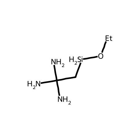 CCO[SiH2]CC(N)(N)N